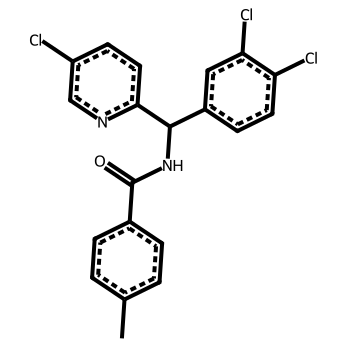 Cc1ccc(C(=O)NC(c2ccc(Cl)c(Cl)c2)c2ccc(Cl)cn2)cc1